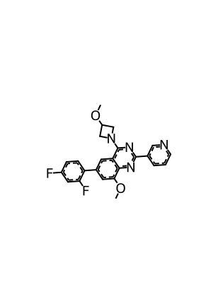 COc1cc(-c2ccc(F)cc2F)cc2c(N3CC(OC)C3)nc(-c3cccnc3)nc12